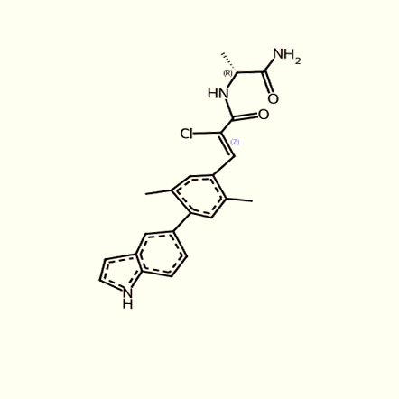 Cc1cc(-c2ccc3[nH]ccc3c2)c(C)cc1/C=C(\Cl)C(=O)N[C@H](C)C(N)=O